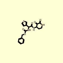 O=C(NC(C(=O)NC1CCNC(=O)C1=O)c1ccsc1)OCc1ccccc1